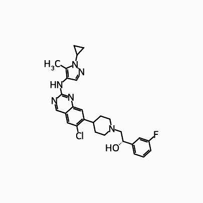 Cc1c(Nc2ncc3cc(Cl)c(C4CCN(C[C@@H](O)c5cccc(F)c5)CC4)cc3n2)cnn1C1CC1